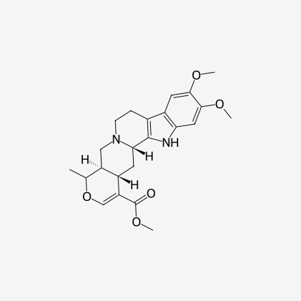 COC(=O)C1=COC(C)[C@H]2CN3CCc4c([nH]c5cc(OC)c(OC)cc45)[C@@H]3C[C@H]12